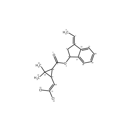 C/C=C1\CC(OC(=O)C2C(C=C(Cl)Cl)C2(C)C)c2ccccc21